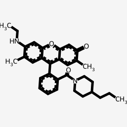 CCCC1CCN(C(=O)c2ccccc2-c2c3cc(C)c(=O)cc-3oc3cc(NCC)c(C)cc23)CC1